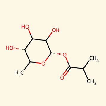 CC(C)C(=O)O[C@@H]1OC(C)[C@H](O)C(O)C1O